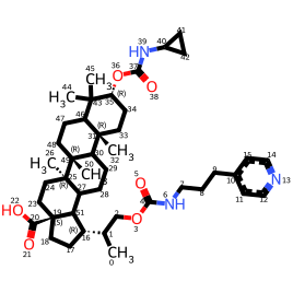 CC(COC(=O)NCCCc1ccncc1)[C@@H]1CC[C@]2(C(=O)O)CC[C@]3(C)C(CCC4[C@@]5(C)CC[C@@H](OC(=O)NC6CC6)C(C)(C)C5CC[C@]43C)C12